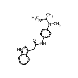 CN=C(C)N(C)c1ccc(NC(=O)Cc2c[nH]c3ccccc23)cc1